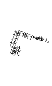 O.O.O.O.O.O.O.O.O.O.O.[MgH2].[MgH2].[MgH2].[MgH2].[MgH2].[MgH2]